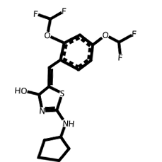 OC1N=C(NC2CCCC2)S/C1=C\c1ccc(OC(F)F)cc1OC(F)F